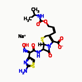 CC(C)NC(=O)OC/C=C\C1=C(C(=O)[O-])N2C(=O)C(NC(=O)/C(=N\O)c3csc(N)n3)[C@@H]2SC1.[Na+]